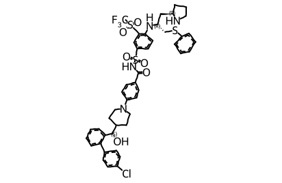 O=C(NS(=O)(=O)c1ccc(N[C@@H](CSc2ccccc2)C[C@H]2CCCN2)c(S(=O)(=O)C(F)(F)F)c1)c1ccc(N2CCC([C@H](O)c3ccccc3-c3ccc(Cl)cc3)CC2)cc1